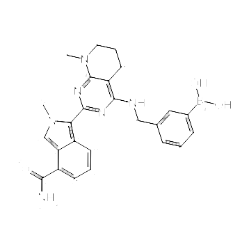 CN1CCCc2c(NCc3cccc(B(O)O)c3)nc(-c3c4cccc(C(N)=O)c4cn3C)nc21